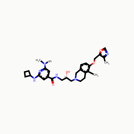 CCCN(C)c1cc(C(=O)NC[C@H](O)CN2CCc3c(ccc(OCc4ocnc4C)c3C)C2)cc(NC2CCC2)n1